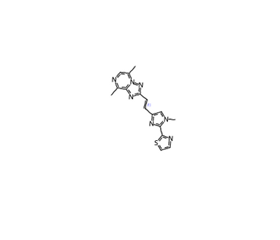 Cc1ncc(C)n2nc(/C=C/c3cn(C)c(-c4nccs4)n3)nc12